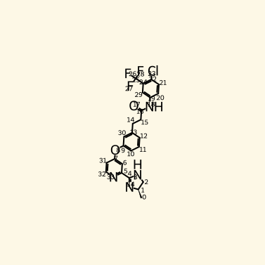 C[C@@H]1CNC(c2cc(Oc3cccc(CCC(=O)Nc4ccc(Cl)c(C(F)(F)F)c4)c3)ccn2)=N1